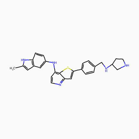 Cc1cc2cc(Nc3ccnc4cc(-c5ccc(CNC6CCNC6)cc5)sc34)ccc2[nH]1